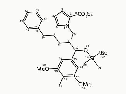 CCOC(=O)c1cccn1C[C@@H](CCCc1ccccc1)C(O[Si](C)(C)C(C)(C)C)c1cc(OC)c(C)c(OC)c1